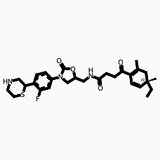 CC[C@]1(C)C=CC(C(=O)CCC(=O)NCC2CN(c3ccc(C4CNCCS4)c(F)c3)C(=O)O2)=C(C)C1